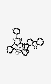 C[Si]1(C)c2ccccc2-c2nc(-c3ccccc3)nc(-n3c4ccccc4c4c5oc6ccccc6c5ccc43)c21